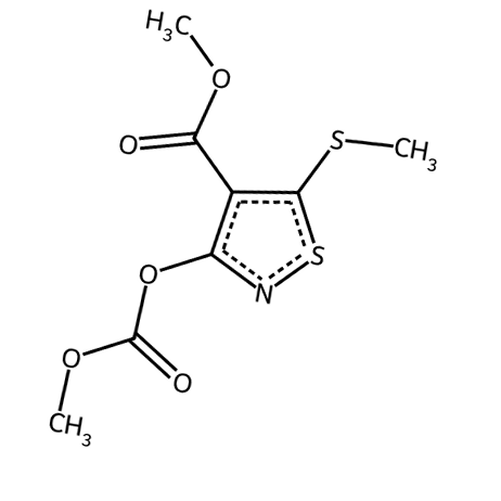 COC(=O)Oc1nsc(SC)c1C(=O)OC